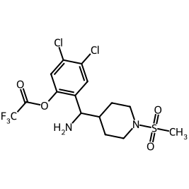 CS(=O)(=O)N1CCC(C(N)c2cc(Cl)c(Cl)cc2OC(=O)C(F)(F)F)CC1